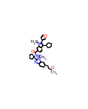 CC(=O)/C=C/c1ccc2nc(C3(NC(=O)c4ccc5c(C6CCCC6)c(-c6ccoc6)n(C)c5c4)CCCC3)n(C)c2c1